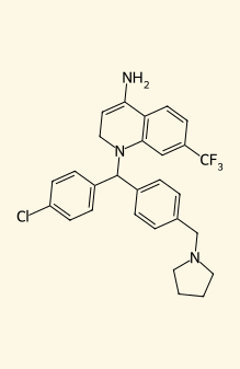 NC1=CCN(C(c2ccc(Cl)cc2)c2ccc(CN3CCCC3)cc2)c2cc(C(F)(F)F)ccc21